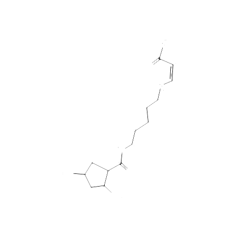 CC1CC(C)C(C(=O)OCCCCCN/C=C\C(N)=S)C1